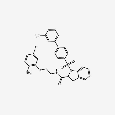 Nc1ccc(F)cc1OCCNC(=O)[C@@H]1Cc2ccccc2N1S(=O)(=O)c1ccc(-c2cccc(C(F)(F)F)c2)cc1